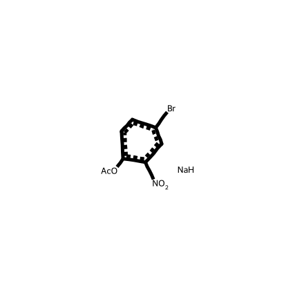 CC(=O)Oc1ccc(Br)cc1[N+](=O)[O-].[NaH]